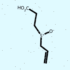 C=CC[S+]([O-])CCC(=O)O